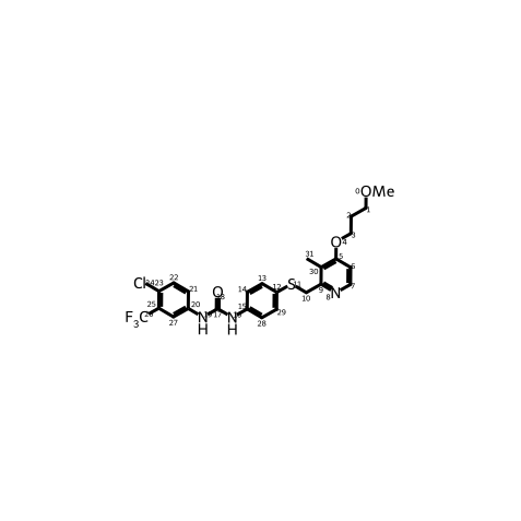 COCCCOc1ccnc(CSc2ccc(NC(=O)Nc3ccc(Cl)c(C(F)(F)F)c3)cc2)c1C